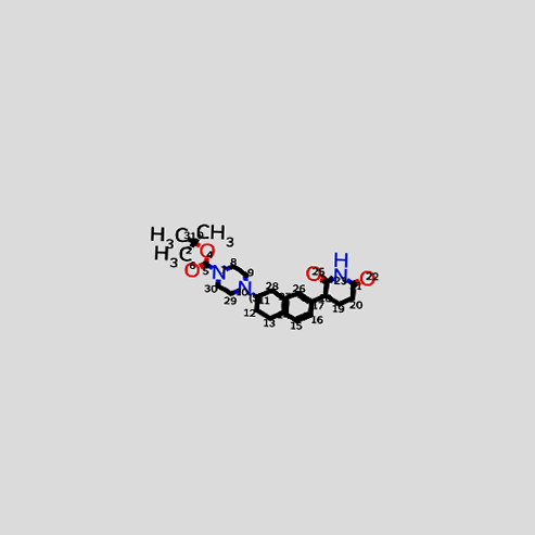 CC(C)(C)OC(=O)N1CCN([C@H]2CCc3ccc(C4CCC(=O)NC4=O)cc3C2)CC1